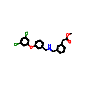 COC(=O)Cc1cccc(CNCc2cccc(Oc3cc(Cl)cc(Cl)c3)c2)c1